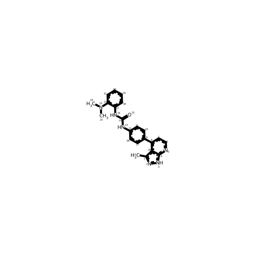 Cc1n[nH]c2nccc(-c3ccc(NC(=O)Nc4ccccc4N(C)C)cc3)c12